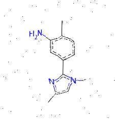 Cc1cn(C)c(-c2ccc(C)c(N)c2)n1